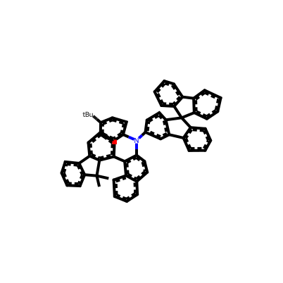 CC(C)(C)c1ccc(N(c2ccc3c(c2)-c2ccccc2C32c3ccccc3-c3ccccc32)c2ccc3ccccc3c2-c2cccc3c2C(C)(C)c2ccccc2-3)cc1